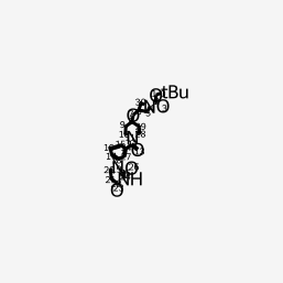 CC(C)(C)OC(=O)N1CC(OC2CCN(C(=O)c3cccc(N4CCC(=O)NC4=O)c3)CC2)C1